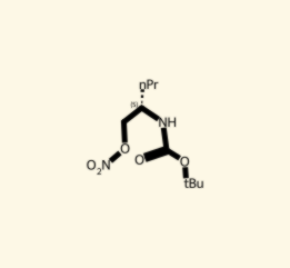 CCC[C@@H](CO[N+](=O)[O-])NC(=O)OC(C)(C)C